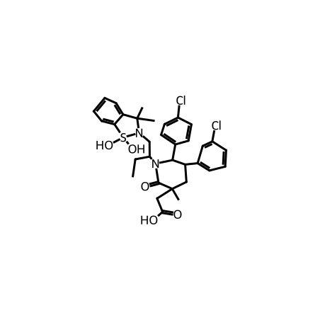 CCC(CN1C(C)(C)c2ccccc2S1(O)O)N1C(=O)C(C)(CC(=O)O)CC(c2cccc(Cl)c2)C1c1ccc(Cl)cc1